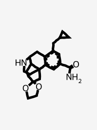 NC(=O)c1cc(CC2CC2)c2c(c1)C13CCNC(C2)C1CCC1(C3)OCCO1